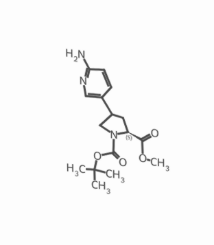 COC(=O)[C@@H]1CC(c2ccc(N)nc2)CN1C(=O)OC(C)(C)C